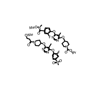 COCCC(=O)N1CCC(Oc2ncnc(Oc3ccc(S(C)(=O)=O)cc3F)c2C)CC1.CON(C)C(=O)c1ccc(Oc2ncnc(OC3CCN(C(=O)OC(C)C)CC3)c2C)c(F)c1